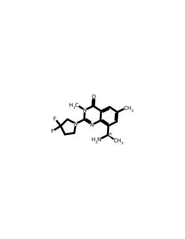 Cc1cc([C@@H](C)N)c2nc(N3CCC(F)(F)C3)n(C)c(=O)c2c1